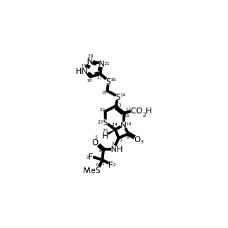 CSC(F)(F)C(=O)NC1C(=O)N2C(C(=O)O)=C(SCSc3c[nH]nn3)CS[C@@H]12